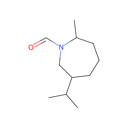 CC(C)C1CCCC(C)N(C=O)C1